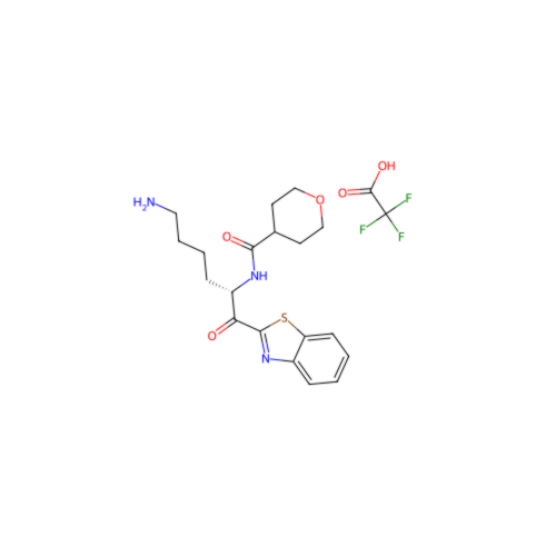 NCCCC[C@H](NC(=O)C1CCOCC1)C(=O)c1nc2ccccc2s1.O=C(O)C(F)(F)F